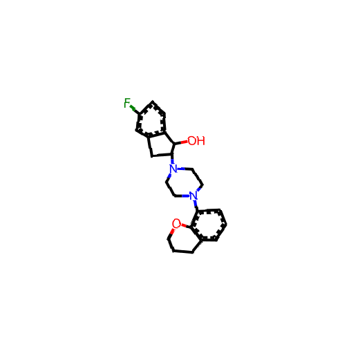 OC1c2ccc(F)cc2CC1N1CCN(c2cccc3c2OCCC3)CC1